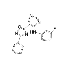 Fc1cccc(Nc2ncncc2-c2nc(-c3ccccc3)no2)c1